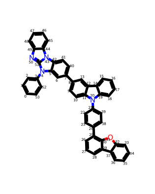 c1ccc(-n2c3cc(-c4ccc5c(c4)c4ccccc4n5-c4ccc(-c5cccc6c5oc5ccccc56)cc4)ccc3n3c4ccccc4nc23)cc1